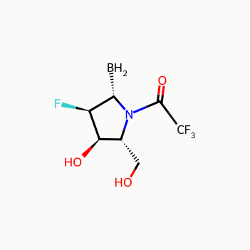 B[C@H]1[C@H](F)[C@H](O)[C@@H](CO)N1C(=O)C(F)(F)F